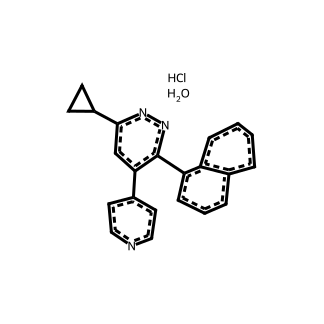 Cl.O.c1ccc2c(-c3nnc(C4CC4)cc3-c3ccncc3)cccc2c1